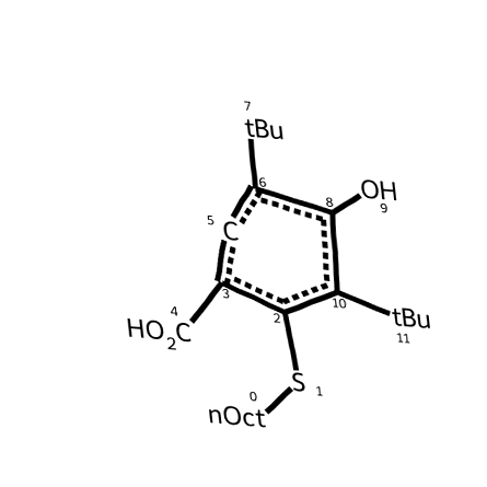 CCCCCCCCSc1c(C(=O)O)cc(C(C)(C)C)c(O)c1C(C)(C)C